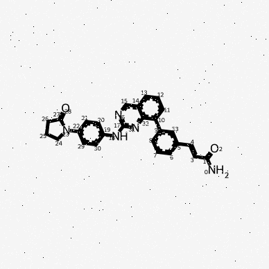 NC(=O)C=Cc1cccc(-c2cccc3cnc(Nc4ccc(N5CCCC5=O)cc4)nc23)c1